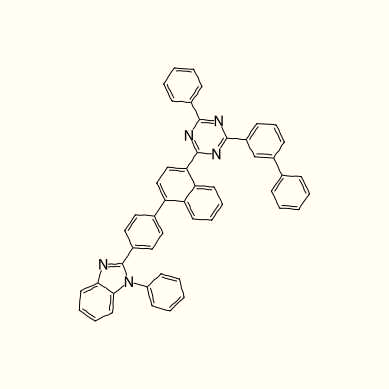 c1ccc(-c2cccc(-c3nc(-c4ccccc4)nc(-c4ccc(-c5ccc(-c6nc7ccccc7n6-c6ccccc6)cc5)c5ccccc45)n3)c2)cc1